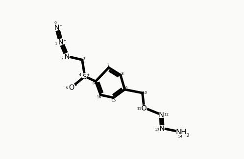 [N-]=[N+]=NC[S+]([O-])c1ccc(CON=NN)cc1